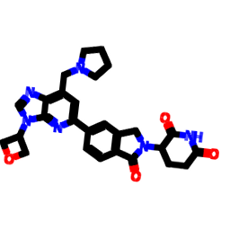 O=C1CCC(N2Cc3cc(-c4cc(CN5CCCC5)c5ncn(C6COC6)c5n4)ccc3C2=O)C(=O)N1